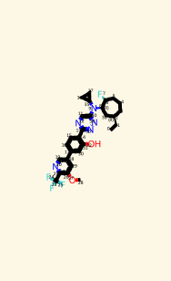 CC[C@@H]1CCC[C@H](F)[C@H](N(c2cnc(-c3ccc(-c4cnc(C(F)(F)F)c(OC)c4)cc3O)nn2)C2CC2)C1